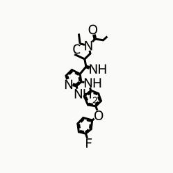 CCC(=O)N1CC(C(=N)c2ccnc(N)c2Nc2ccc(Oc3cccc(F)c3)cc2)CCC1C